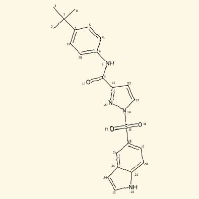 CC(C)(C)c1ccc(NC(=O)c2ccn(S(=O)(=O)c3ccc4[nH]ccc4c3)n2)cc1